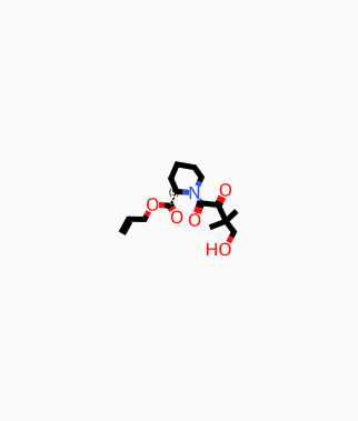 C=CCOC(=O)[C@@H]1CCCCN1C(=O)C(=O)C(C)(C)CO